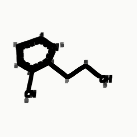 N#Cc1cccnc1CCO